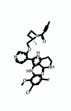 CC#CC(=O)N1CC[C@]1(C)COc1cnccc1-c1[nH]c2c(c1Nc1cc(F)cc(Cl)c1OC)C(=O)NCC2